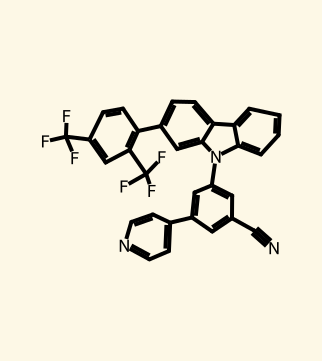 N#Cc1cc(-c2ccncc2)cc(-n2c3ccccc3c3ccc(-c4ccc(C(F)(F)F)cc4C(F)(F)F)cc32)c1